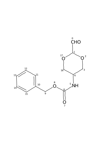 O=CC1OCC(NC(=O)OCc2ccccc2)CO1